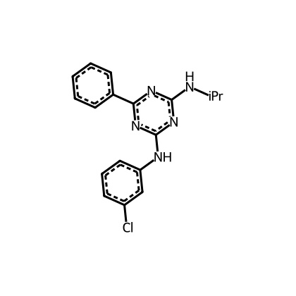 CC(C)Nc1nc(Nc2cccc(Cl)c2)nc(-c2ccccc2)n1